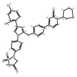 O=C1CN(c2ccc(-n3cc(-c4ccc(Cl)cc4Cl)nc3Cc3ccc(-c4ccn(C5CCCCC5)c(=O)c4)cc3)cc2)S(=O)(=O)N1